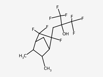 CC1C(C)C2CC1C(F)(F)C2(F)CC(O)(C(F)(F)F)C(F)(F)F